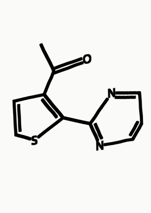 CC(=O)c1ccsc1-c1ncccn1